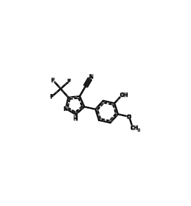 COc1ccc(-c2[nH]nc(C(F)(F)F)c2C#N)cc1O